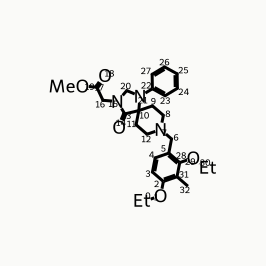 CCOc1ccc(CN2CCC3(CC2)C(=O)N(CC(=O)OC)CN3c2ccccc2)c(OCC)c1C